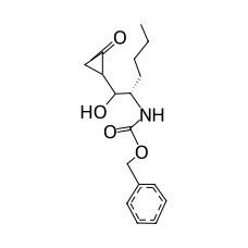 CCCC[C@H](NC(=O)OCc1ccccc1)C(O)C1CC1=O